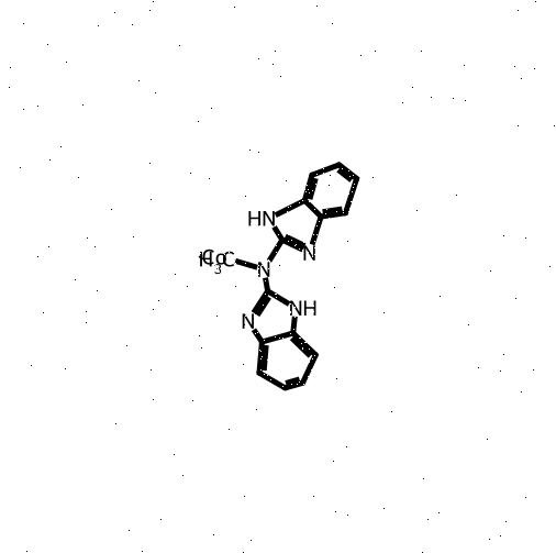 CN(c1nc2ccccc2[nH]1)c1nc2ccccc2[nH]1.[Co]